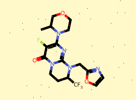 CC1COCCN1c1nc2n(c(=O)c1F)CCC(C(F)(F)F)N2Cc1ncco1